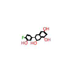 Oc1cc(O)c2c(c1)C[C@H](c1ccc(F)c(O)c1)[C@@H](O)C2